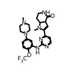 CN1CCN(c2ccc(OC(F)(F)F)c(Nc3nccc(C4=CC5C(=O)NCCC5N4C)n3)c2)CC1